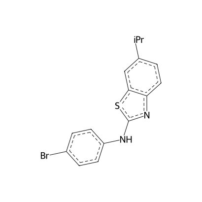 CC(C)c1ccc2nc(Nc3ccc(Br)cc3)sc2c1